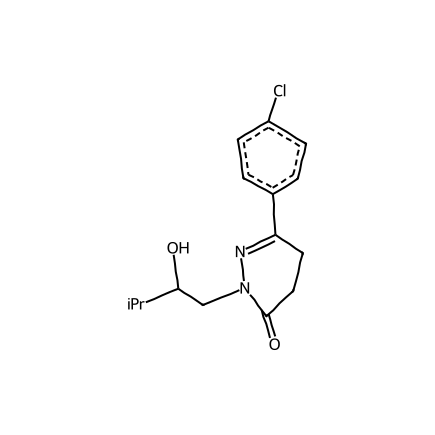 CC(C)C(O)CN1N=C(c2ccc(Cl)cc2)CCC1=O